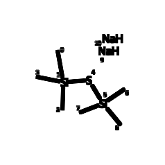 C[Si](C)(C)S[Si](C)(C)C.[NaH].[NaH]